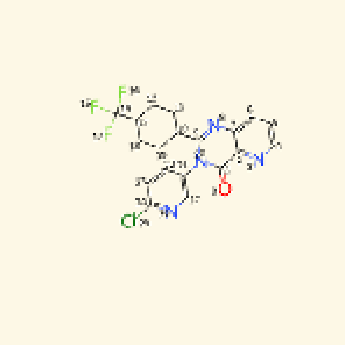 O=c1c2ncccc2nc(C2CCC(C(F)(F)F)CC2)n1-c1ccc(Cl)nc1